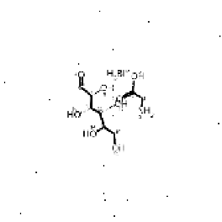 NCC(=O)O.O=C[C@H](O)[C@@H](O)[C@H](O)[C@H](O)CO.[BiH3]